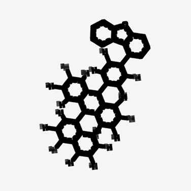 [2H]c1c([2H])c(-c2cccc3oc4ccccc4c23)c([2H])c([2H])c1-c1c2c([2H])c([2H])c([2H])c([2H])c2c(-c2c([2H])c([2H])c([2H])c3c([2H])c([2H])c([2H])c([2H])c23)c2c([2H])c([2H])c([2H])c([2H])c12